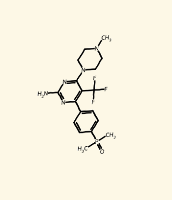 CN1CCN(c2nc(N)nc(-c3ccc(P(C)(C)=O)cc3)c2C(F)(F)F)CC1